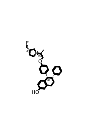 C[C@@H](COc1ccc([C@H]2c3ccc(O)cc3CC[C@H]2c2ccccc2)cc1)N1CC[C@@H](CF)C1